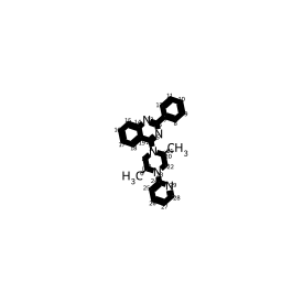 C[C@@H]1CN(c2nc(-c3ccccc3)nc3ccccc23)[C@H](C)CN1c1ccccn1